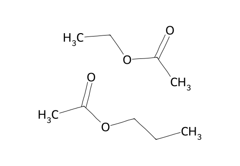 CCCOC(C)=O.CCOC(C)=O